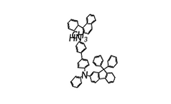 CC1C=CC=CC1c1c(Nc2ccc(-c3ccc(N(c4ccccc4)c4ccc5c(c4)C(c4ccccc4)(c4ccccc4)C4=C5C=CCC4)cc3)cc2)ccc2ccccc12